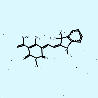 CNC(=O)C1=C(C)/C(=C/C=C2/N(C)c3ccccc3C2(C)C)C(=O)N(C)C1=O